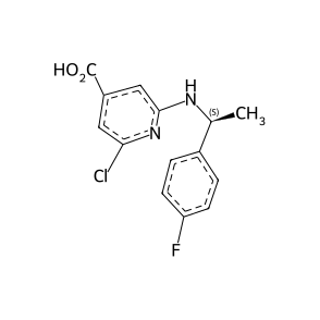 C[C@H](Nc1cc(C(=O)O)cc(Cl)n1)c1ccc(F)cc1